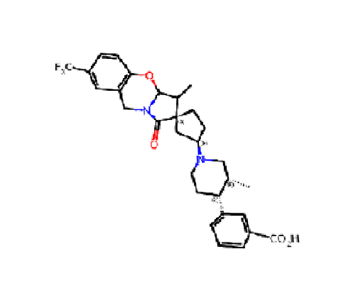 CC1C2Oc3ccc(C(F)(F)F)cc3CN2C(=O)[C@]12CC[C@@H](N1CC[C@@H](c3cccc(C(=O)O)c3)[C@@H](C)C1)C2